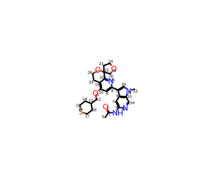 CC(=O)Nc1cc2c(-c3cc(OCC4CCSCC4)c4c(n3)C3(CCOC3)OCC4)cn(C)c2cn1